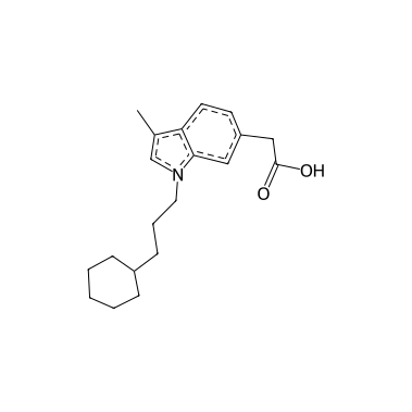 Cc1cn(CCCC2CCCCC2)c2cc(CC(=O)O)ccc12